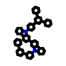 C1CCC(C2CCCC(C3CCCC(N4C5CCCCC5C5CCC(C6CCC7C8CCCCC8N(C8CCC(C9CC(C%10CCCCC%10)CC(C%10CCCCC%10)C9)CC8)C7C6)CC54)C3)C2)CC1